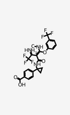 CN/C(Oc1cccc(C(F)(F)F)c1)=C(\C(=N)C(F)(F)F)C(=O)NC1(c2ccc(C(=O)O)cc2)CC1